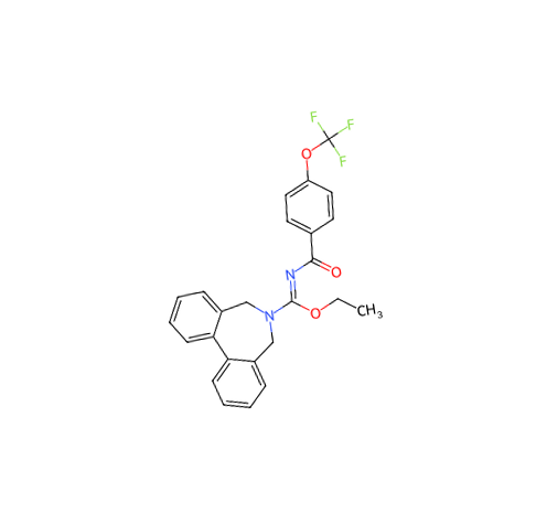 CCO/C(=N\C(=O)c1ccc(OC(F)(F)F)cc1)N1Cc2ccccc2-c2ccccc2C1